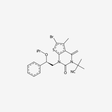 C=C1c2c(sc(Br)c2C)N(C[C@H](OC(C)C)c2ccccc2)C(=O)N1C(C)(C)C#N